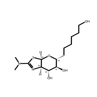 CN(C)C1=N[C@@H]2[C@@H](O)[C@H](O)[C@@H](CCCCCCO)O[C@@H]2S1